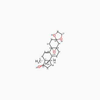 C[C@]12CC=C3[C@@H](CCC45CC6(CCC34O5)OCCO6)[C@@H]1CCC2=O